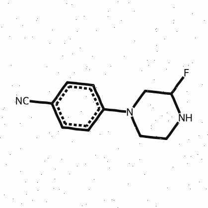 N#Cc1ccc(N2CCNC(F)C2)cc1